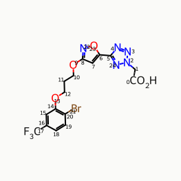 O=C(O)Cn1nnc(-c2cc(OCCCOc3cc(C(F)(F)F)ccc3Br)no2)n1